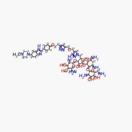 CN1CCN(c2ccc3nc(-c4ccc(OCCn5cc(COCc6cn(C[C@H]7OC(O[C@@H]8C(O)[C@H](N)CC(N)[C@H]8O[C@H]8OC(CN)[C@@H](O)[C@H](O)C8N)[C@@H](O)[C@H]7O[C@H]7O[C@@H](CN)[C@@H](O)C(O)C7N)nn6)nn5)cc4)[nH]c3c2)CC1